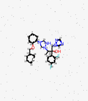 CC(N1CN(c2ccccc2OCc2ccccc2)CN1)C(O)(Cn1cncn1)c1ccc(F)cc1F